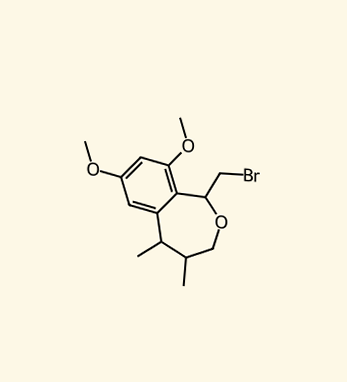 COc1cc(OC)c2c(c1)C(C)C(C)COC2CBr